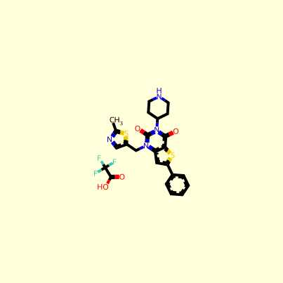 Cc1ncc(Cn2c(=O)n(C3CCNCC3)c(=O)c3sc(-c4ccccc4)cc32)s1.O=C(O)C(F)(F)F